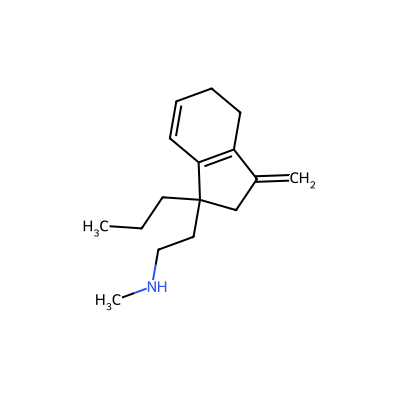 C=C1CC(CCC)(CCNC)C2=C1CCC=C2